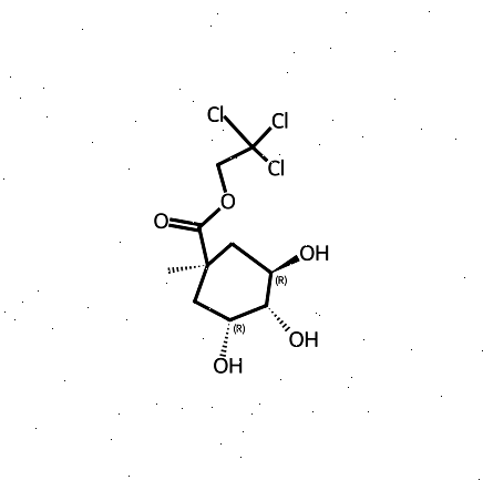 C[C@]1(C(=O)OCC(Cl)(Cl)Cl)C[C@@H](O)[C@H](O)[C@H](O)C1